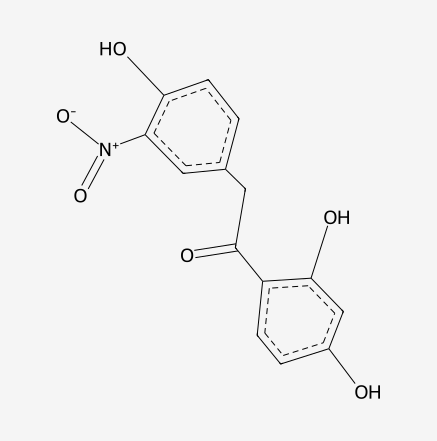 O=C(Cc1ccc(O)c([N+](=O)[O-])c1)c1ccc(O)cc1O